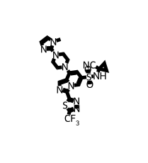 Cn1ccnc1N1CCN(c2cc(S(=O)(=O)NC3(C#N)CC3)cn3c(-c4nnc(C(F)(F)F)s4)ncc23)CC1